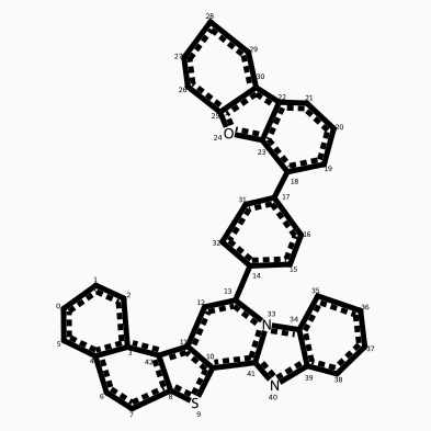 c1ccc2c(c1)ccc1sc3c(cc(-c4ccc(-c5cccc6c5oc5ccccc56)cc4)n4c5ccccc5nc34)c12